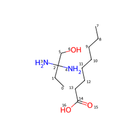 CCC(N)(N)CO.CCCCCCCC(=O)O